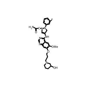 COc1cc2c(NC3=CN(CC(N)=O)N(c4cccc(F)c4)C3)ncnc2cc1OCCCN1CCCC(O)C1